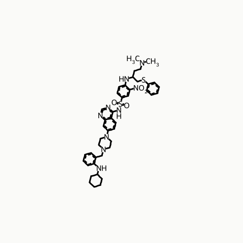 CN(C)CCC(CSc1ccccc1)Nc1ccc(S(=O)(=O)Nc2ncnc3cc(N4CCN(Cc5ccccc5NC5CCCCC5)CC4)ccc23)cc1[N+](=O)[O-]